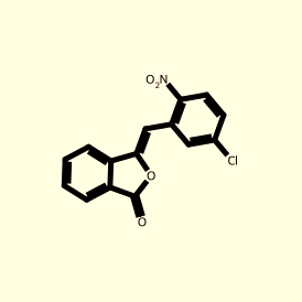 O=C1O/C(=C\c2cc(Cl)ccc2[N+](=O)[O-])c2ccccc21